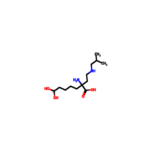 CC(C)CNCCC(N)(CCCCB(O)O)C(=O)O